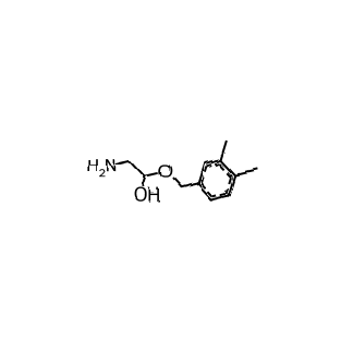 Cc1ccc(COC(O)CN)cc1C